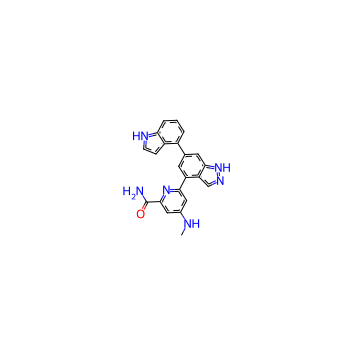 CNc1cc(C(N)=O)nc(-c2cc(-c3cccc4[nH]ccc34)cc3[nH]ncc23)c1